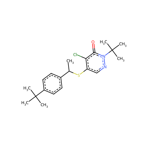 CC(Sc1cnn(C(C)(C)C)c(=O)c1Cl)c1ccc(C(C)(C)C)cc1